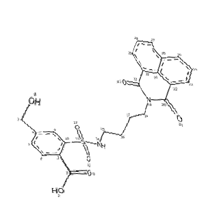 O=C(O)c1ccc(CO)cc1S(=O)(=O)NCCCCN1C(=O)c2cccc3cccc(c23)C1=O